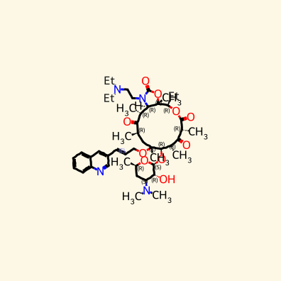 CC[C@H]1OC(=O)[C@H](C)C(=O)[C@H](C)[C@@H](O[C@@H]2O[C@H](C)C[C@H](N(C)C)[C@H]2O)[C@](C)(OC/C=C/c2cnc3ccccc3c2)C[C@@H](C)C(=O)[C@H](C)[C@H]2N(CCN(CC)CC)C(=O)O[C@]12C